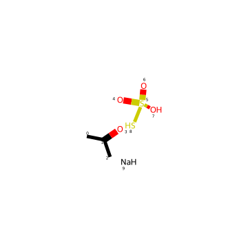 CC(C)=O.O=S(=O)(O)S.[NaH]